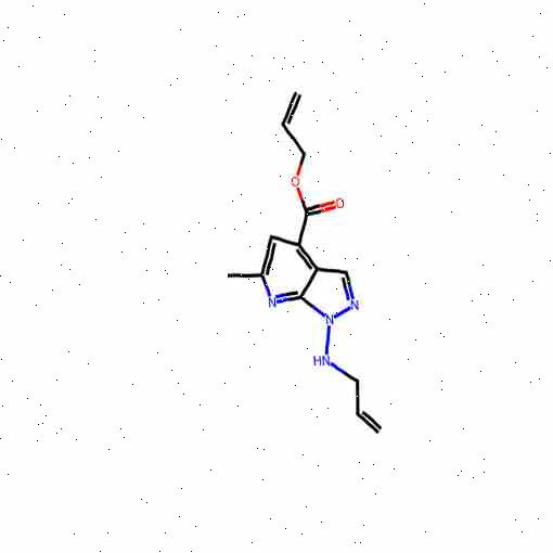 C=CCNn1ncc2c(C(=O)OCC=C)cc(C)nc21